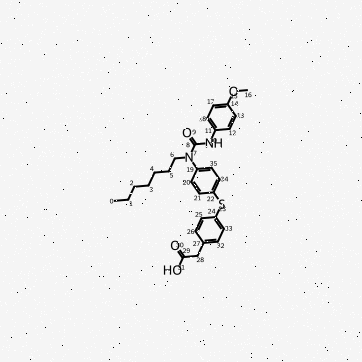 CCCCCCCN(C(=O)Nc1ccc(OC)cc1)c1ccc(Sc2ccc(CC(=O)O)cc2)cc1